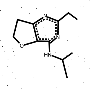 CCc1nc2c(c(NC(C)C)n1)OCC2